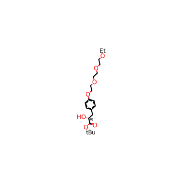 CCOCCOCCOCCOc1ccc(C[C@@H](O)C(=O)OC(C)(C)C)cc1